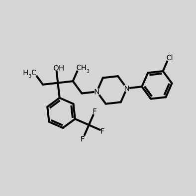 CCC(O)(c1cccc(C(F)(F)F)c1)C(C)CN1CCN(c2cccc(Cl)c2)CC1